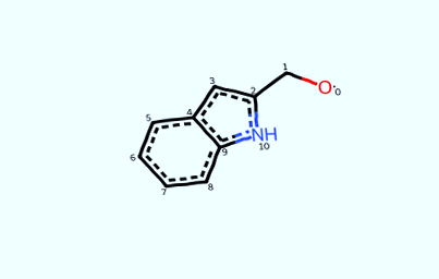 [O]Cc1cc2ccccc2[nH]1